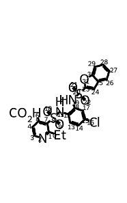 CCc1nccc(C(=O)O)c1S(=O)(=O)Nc1ccc(Cl)cc1NS(=O)(=O)c1cc2ccccc2o1